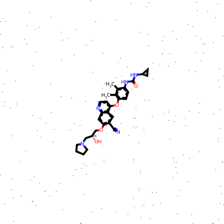 Cc1c(NC(=O)NC2CC2)ccc(Oc2ccnc3cc(OC[C@H](O)CN4CCCC4)c(C#N)cc23)c1C